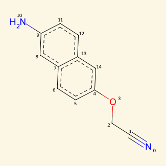 N#CCOc1ccc2cc(N)ccc2c1